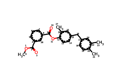 COC(=O)c1cccc(C(=O)Oc2ccc(Cc3ccc(C)c(C)c3)cc2C)c1